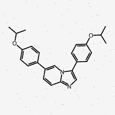 CC(C)Oc1ccc(-c2ccc3ncc(-c4ccc(OC(C)C)cc4)n3c2)cc1